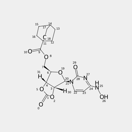 O=C1O[C@@H]2[C@H](O1)[C@@H](COC(=O)C13CCC(CC1)CC3)O[C@H]2n1ccc(NO)nc1=O